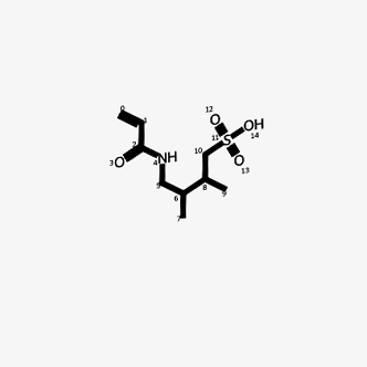 C=CC(=O)NCC(C)C(C)CS(=O)(=O)O